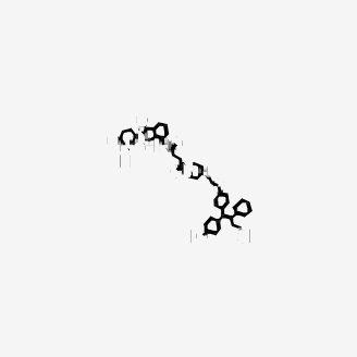 O=C1CCC(N2Cc3c(NC(=O)CCC(=O)N4CCN(CCOc5ccc(C(=C(CCCl)c6ccccc6)c6ccc(O)cc6)cc5)CC4)cccc3C2=O)C(=O)N1